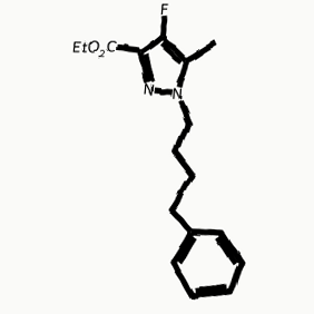 CCOC(=O)c1nn(CCCCc2ccccc2)c(C)c1F